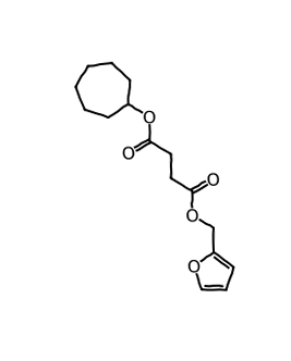 O=C(CCC(=O)OC1CCCCCC1)OCc1ccco1